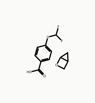 C1OC2CC12.O=C(O)c1ccc(OC(F)F)cc1